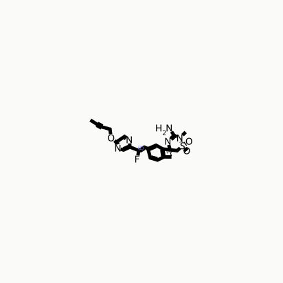 CC#CCOc1cnc(/C(F)=C/c2ccc3c(c2)[C@]2(C3)CS(=O)(=O)N(C)C(N)=N2)cn1